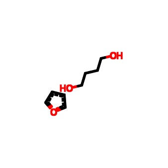 OCCCCO.c1ccoc1